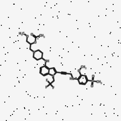 COCC(CN1CCC(Nc2cccc3c2cc(C#CCNc2ccc(S(C)(=O)=O)cc2OC)n3CC(F)(F)F)CC1)OC(C)=O